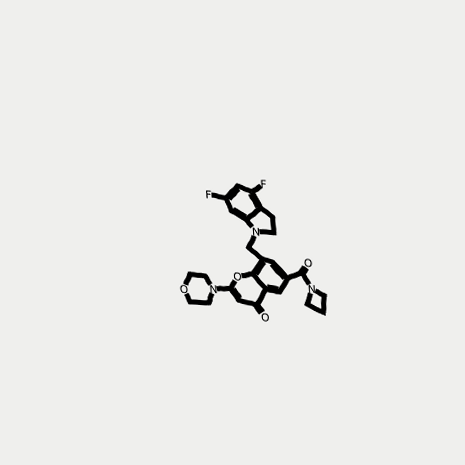 O=C(c1cc(CN2CCc3c(F)cc(F)cc32)c2oc(N3CCOCC3)cc(=O)c2c1)N1CCC1